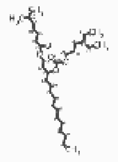 CCCCCCCCCCCCC(CCOC(=O)CCCCC(C)C)OC(=O)OCCCN(CC)CC